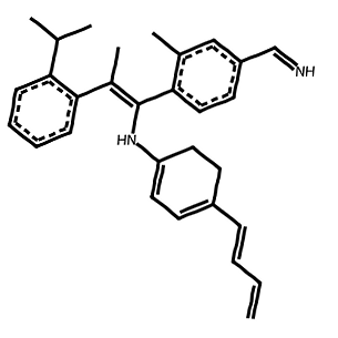 C=C/C=C/C1=CC=C(N/C(=C(/C)c2ccccc2C(C)C)c2ccc(C=N)cc2C)CC1